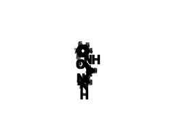 O=C(Nc1ccccc1)C1C[C@H]1c1c[nH]cn1